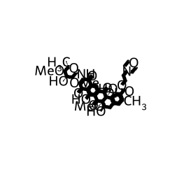 CO[C@@H]1[C@@H](O)[C@@H](OC)[C@@H](NC2=CC(=O)c3c(cc4c(c3O)C(=O)[C@]3(OC)[C@H](O)Cc5cc(C)c(C(=O)OCCN6CCOCC6)c(O)c5[C@]3(O)C4=O)C2=O)O[C@H]1C